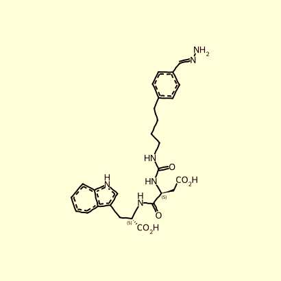 NN=Cc1ccc(CCCCNC(=O)N[C@@H](CC(=O)O)C(=O)N[C@@H](Cc2c[nH]c3ccccc23)C(=O)O)cc1